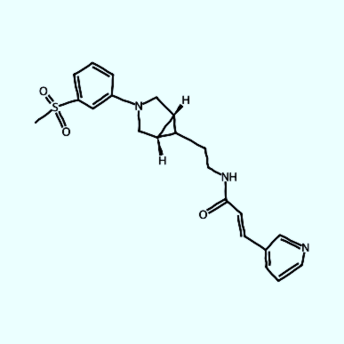 CS(=O)(=O)c1cccc(N2C[C@@H]3C(CCNC(=O)/C=C/c4cccnc4)[C@@H]3C2)c1